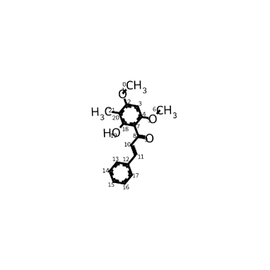 COc1cc(OC)c(C(=O)/C=C/c2ccccc2)c(O)c1C